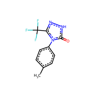 Cc1ccc(-n2c(C(F)(F)F)n[nH]c2=O)cc1